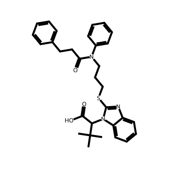 CC(C)(C)C(C(=O)O)n1c(SCCCN(C(=O)CCc2ccccc2)c2ccccc2)nc2ccccc21